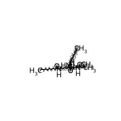 CCCCCCCCCC(=O)NCCCCC(NC(=O)CCCCCCCCC)C(=O)NCCNC(=O)CC(C)C